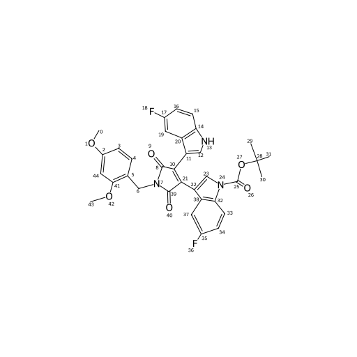 COc1ccc(CN2C(=O)C(c3c[nH]c4ccc(F)cc34)=C(c3cn(C(=O)OC(C)(C)C)c4ccc(F)cc34)C2=O)c(OC)c1